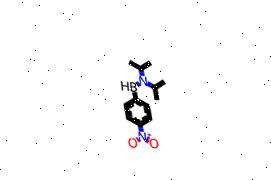 CC(C)N(Bc1ccc([N+](=O)[O-])cc1)C(C)C